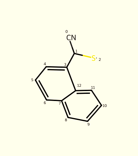 N#CC([S])c1cccc2ccccc12